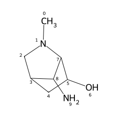 CN1CC2CC(O)C1C2N